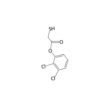 O=C(CS)Oc1cccc(Cl)c1Cl